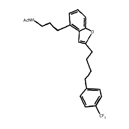 CC(=O)NCCCc1cccc2oc(CCCCc3ccc(C(F)(F)F)cc3)cc12